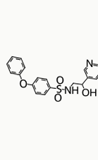 O=S(=O)(NCC(O)c1cccnc1)c1ccc(Oc2ccccc2)cc1